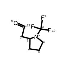 O=CCC1CCCN1C(F)(F)F